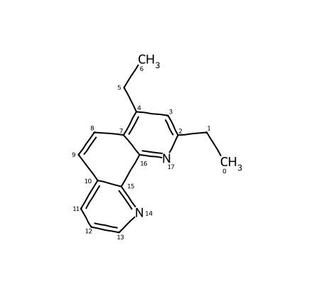 CCc1cc(CC)c2ccc3cccnc3c2n1